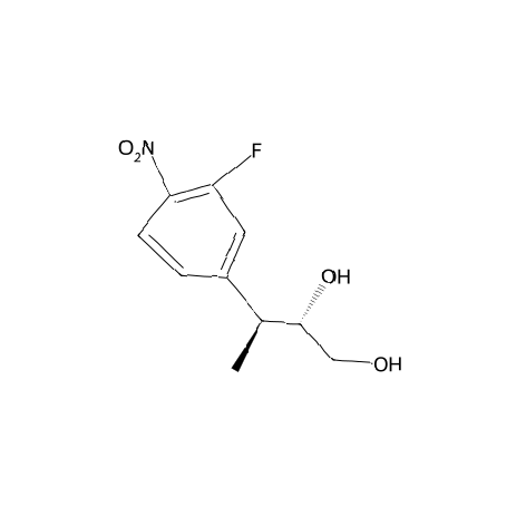 C[C@@H](c1ccc([N+](=O)[O-])c(F)c1)[C@H](O)CO